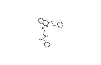 O=C(NCCOc1nc(N2CCc3ccccc3C2)nc2ccccc12)c1ccccc1